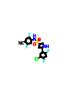 N#Cc1cc(F)c(NS(=O)(=O)c2c[nH]c(-c3cc(Cl)c(F)cc3F)c2)cc1F